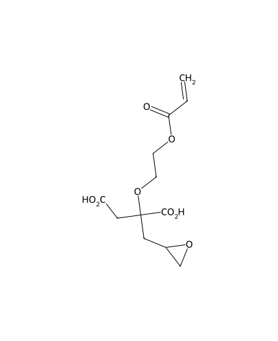 C=CC(=O)OCCOC(CC(=O)O)(CC1CO1)C(=O)O